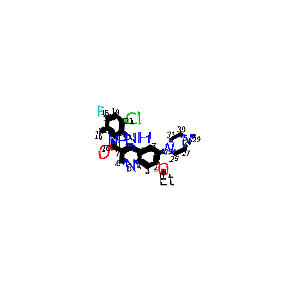 CCOc1cc2ncc(C(N)=O)c(Nc3cc(C)c(F)cc3Cl)c2cc1N1CCN(C)CC1